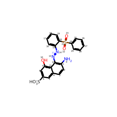 Nc1ccc2cc(S(=O)(=O)O)cc(O)c2c1/N=N/c1ccccc1S(=O)(=O)c1ccccc1